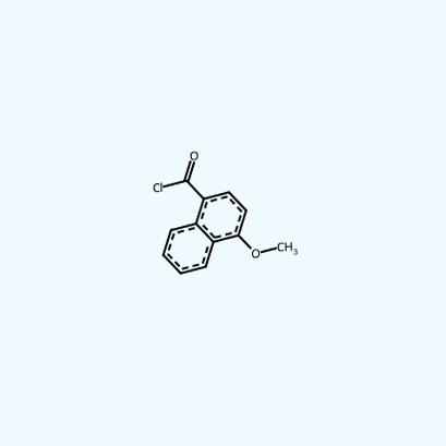 COc1ccc(C(=O)Cl)c2ccccc12